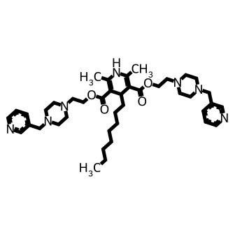 CCCCCCCCC1C(C(=O)OCCN2CCN(Cc3cccnc3)CC2)=C(C)NC(C)=C1C(=O)OCCN1CCN(Cc2cccnc2)CC1